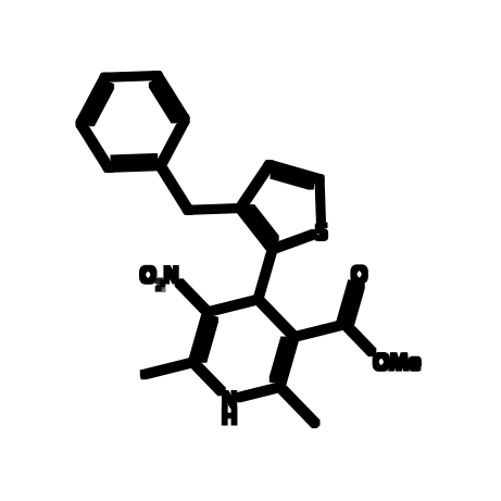 COC(=O)C1=C(C)NC(C)=C([N+](=O)[O-])C1c1sccc1Cc1ccccc1